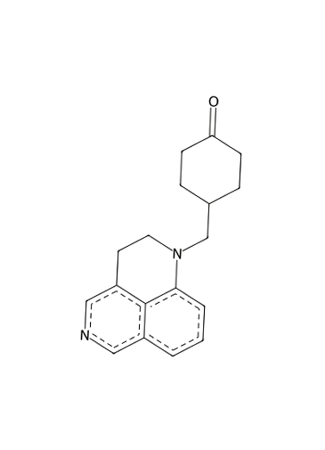 O=C1CCC(CN2CCc3cncc4cccc2c34)CC1